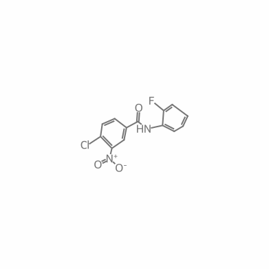 O=C(Nc1ccccc1F)c1ccc(Cl)c([N+](=O)[O-])c1